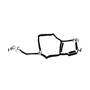 O=C(O)CN1CCc2[nH]ncc2C1